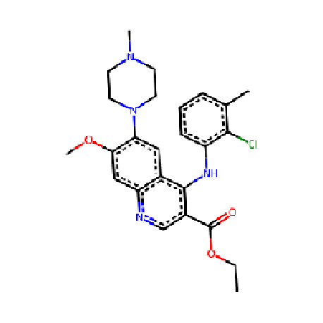 CCOC(=O)c1cnc2cc(OC)c(N3CCN(C)CC3)cc2c1Nc1cccc(C)c1Cl